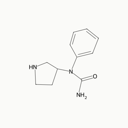 NC(=O)N(c1ccccc1)C1CCNC1